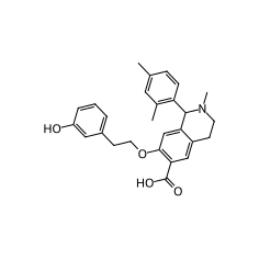 Cc1ccc(C2c3cc(OCCc4cccc(O)c4)c(C(=O)O)cc3CCN2C)c(C)c1